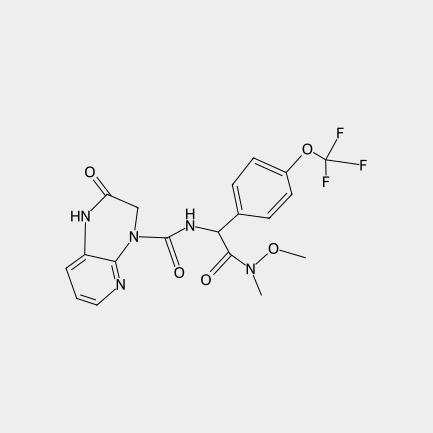 CON(C)C(=O)C(NC(=O)N1CC(=O)Nc2cccnc21)c1ccc(OC(F)(F)F)cc1